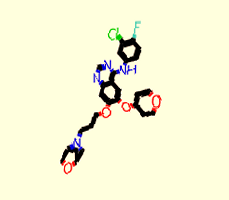 Fc1ccc(Nc2ncnc3cc(OCCCN4CC5CC4CO5)c(OC4CCOCC4)cc23)cc1Cl